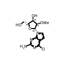 CO[C@@H]1[C@H](O)[C@@H](CO)O[C@H]1n1ccc2c(Cl)nc(N)nc21